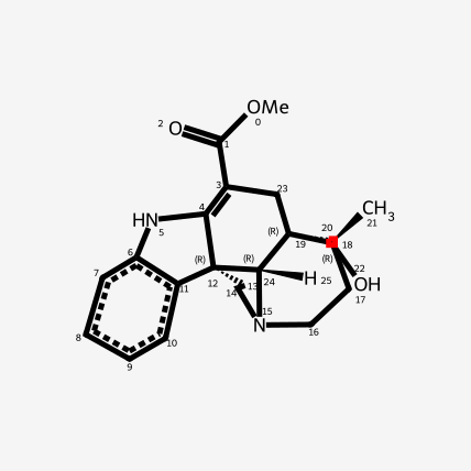 COC(=O)C1=C2Nc3ccccc3[C@@]23CCN2CCC[C@@]([C@@H](C)O)(C1)[C@H]23